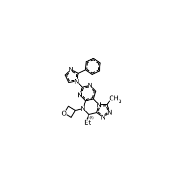 CC[C@@H]1c2nnc(C)n2-c2cnc(-n3ccnc3-c3ccccc3)nc2N1C1COC1